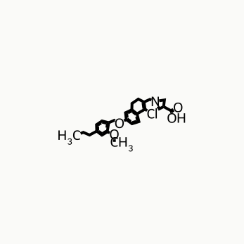 CCCc1ccc(COc2ccc3c(c2)CCC(CN2CC(C(=O)O)C2)=C3Cl)c(OC)c1